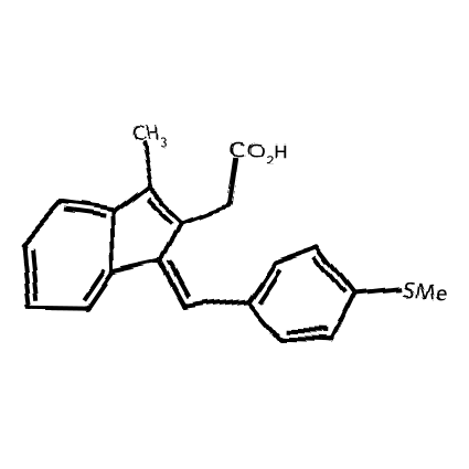 CSc1ccc(C=C2C(CC(=O)O)=C(C)c3ccccc32)cc1